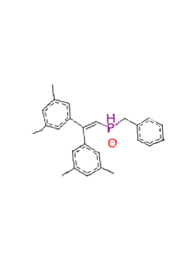 Cc1cc(C)cc(C(=C[PH](=O)Cc2ccccc2)c2cc(C)cc(C)c2)c1